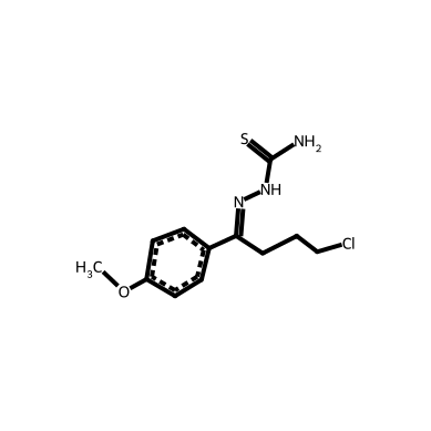 COc1ccc(C(CCCCl)=NNC(N)=S)cc1